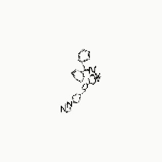 c1ccc(C(=Nc2cc(OCc3ccc(-n4ccnc4)cc3)cnn2)c2ccccc2)cc1